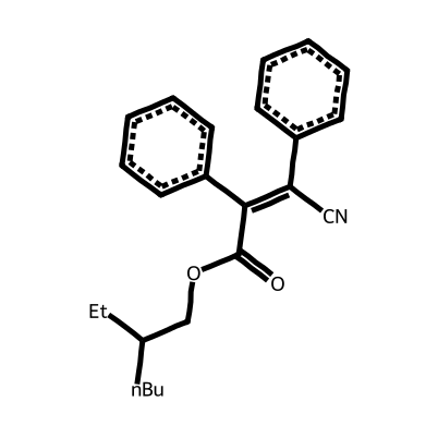 CCCCC(CC)COC(=O)/C(=C(\C#N)c1ccccc1)c1ccccc1